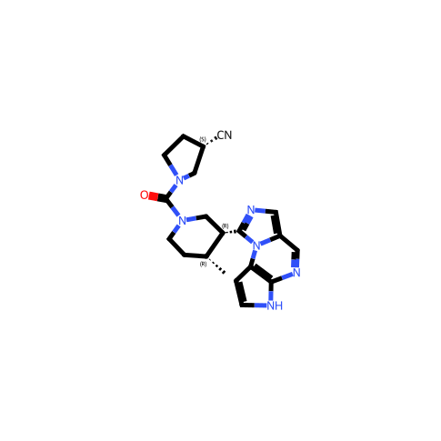 C[C@@H]1CCN(C(=O)N2CC[C@H](C#N)C2)C[C@@H]1c1ncc2cnc3[nH]ccc3n12